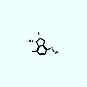 CCCOc1ccc(C)c2c1C[C@@H](F)[C@H]2O